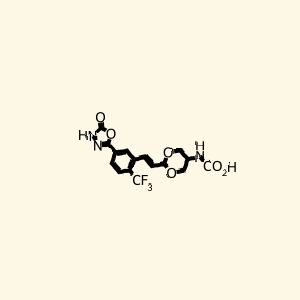 O=C(O)NC1COC(/C=C/c2cc(-c3n[nH]c(=O)o3)ccc2C(F)(F)F)OC1